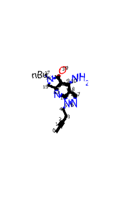 CC#CCCn1ncc2c(N)c3c(nc21)CN(CCCC)C3=O